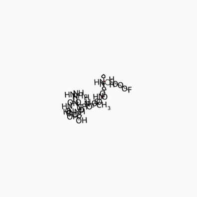 CC(C)(COCCC(=O)NCCCCC1NC(=O)[C@@H](Cc2ccc(O)cc2)NC(=O)[C@H](CC(=O)O)NC(=O)CNC(=O)[C@H](CCCNC(=N)N)NC1=O)OCCNC(=O)OCc1ccc(C2=NNC(c3ccccc3)=C3CC[C@H]4[C@@H](CCC23)[C@H]4COCCOCCOCCF)cc1